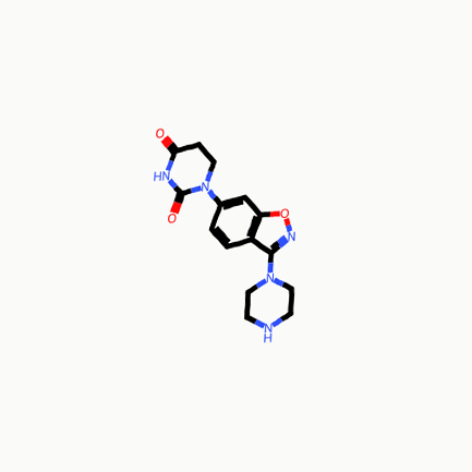 O=C1CCN(c2ccc3c(N4CCNCC4)noc3c2)C(=O)N1